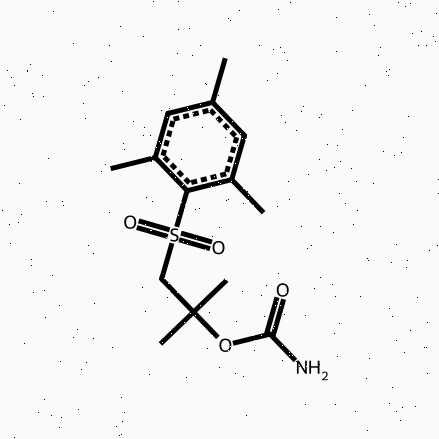 Cc1cc(C)c(S(=O)(=O)CC(C)(C)OC(N)=O)c(C)c1